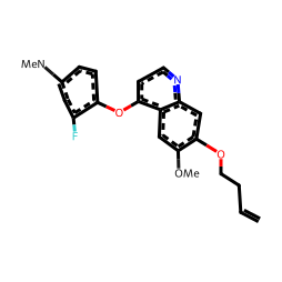 C=CCCOc1cc2nccc(Oc3ccc(NC)cc3F)c2cc1OC